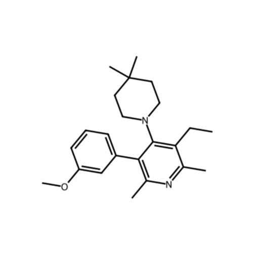 CCc1c(C)nc(C)c(-c2cccc(OC)c2)c1N1CCC(C)(C)CC1